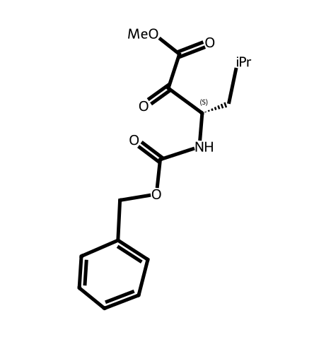 COC(=O)C(=O)[C@H](CC(C)C)NC(=O)OCc1ccccc1